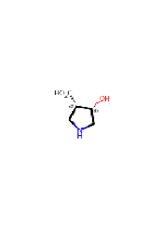 O=C(O)[C@H]1CNC[C@H]1O